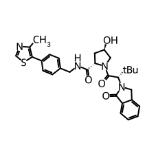 Cc1ncsc1-c1ccc(CNC(=O)[C@@H]2C[C@@H](O)CN2C(=O)[C@@H](N2Cc3ccccc3C2=O)C(C)(C)C)cc1